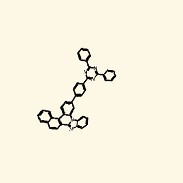 c1ccc(-c2nc(-c3ccccc3)nc(-c3ccc(-c4ccc5c6c7ccccc7ccc6c6nc7ccccc7n6c5c4)cc3)n2)cc1